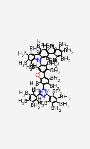 Bc1c(B)c(B)c(-c2nc(-c3c(B)c(B)c(B)c(B)c3B)nc(-c3c(B)c(B)c4c(oc5c(B)c(-n6c7c(B)c(B)c(B)c(B)c7c7c(B)c(B)c(-c8c(B)c(B)c(B)c(B)c8B)c(B)c76)c(B)c(B)c54)c3B)n2)c(B)c1B